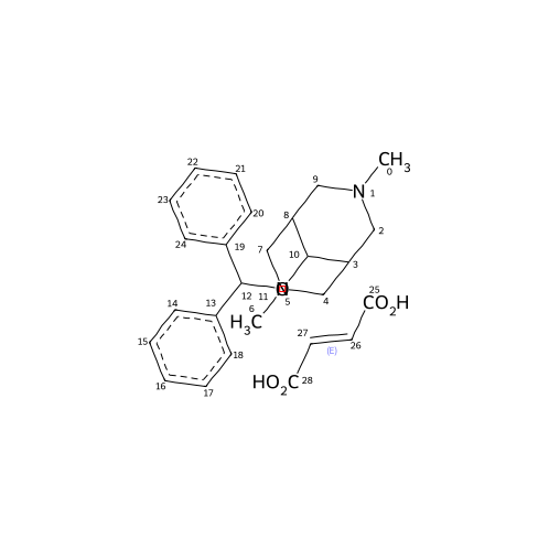 CN1CC2CN(C)CC(C1)C2OC(c1ccccc1)c1ccccc1.O=C(O)/C=C/C(=O)O